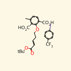 Cc1ccc(C(=O)O)c(OCCC=CC(=O)OC(C)(C)C)c1C(=O)O.FC(F)(F)c1ccc(I)cc1